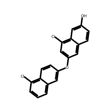 Oc1ccc2cc(Oc3ccc4c(Cl)cccc4c3)cc(Cl)c2c1